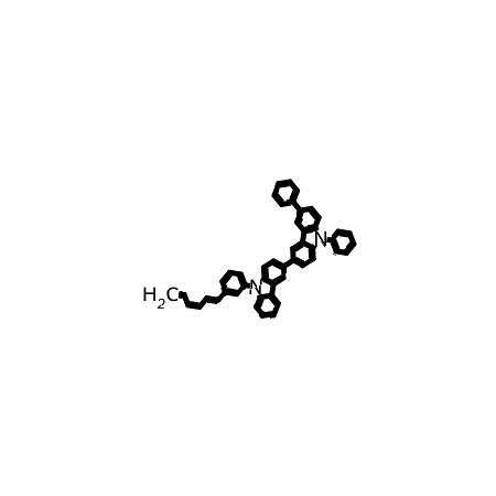 C=C/C=C\C=C\c1cccc(-n2c3ccccc3c3cc(-c4ccc5c(c4)c4cc(-c6ccccc6)ccc4n5-c4ccccc4)ccc32)c1